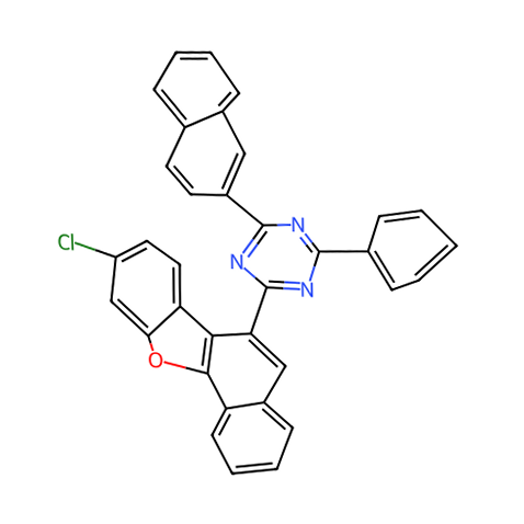 Clc1ccc2c(c1)oc1c3ccccc3cc(-c3nc(-c4ccccc4)nc(-c4ccc5ccccc5c4)n3)c21